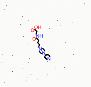 O=C(O)CCNC(=O)CCCCN1CCN(c2ccncc2)CC1